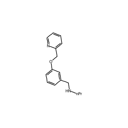 CCCNCc1cccc(OCc2ccccn2)c1